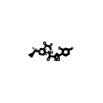 C[C@@H](C1CC1)N1CC[C@@H](NC(=O)c2cc(-c3ccc(F)cc3F)on2)[C@H](C(=O)N(C)C)C1